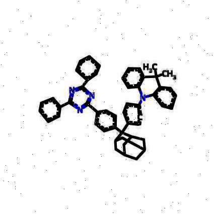 CC1(C)c2ccccc2N(c2ccc(C3(c4ccc(-c5nc(-c6ccccc6)nc(-c6ccccc6)n5)cc4)C4CC5CC(C4)CC3C5)cc2)c2ccccc21